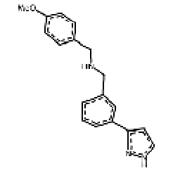 COc1ccc(CNCc2cccc(-c3cc[nH]n3)c2)cc1